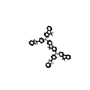 CC1(C)c2ccccc2-c2ccc(N(c3ccc(-c4nc5ccccc5o4)cc3)c3ccc4c(c3)C(C)(C)c3cc(N(c5ccc(-c6nc7ccccc7o6)cc5)c5ccc6c(c5)C(C)(C)c5ccccc5-6)ccc3-4)cc21